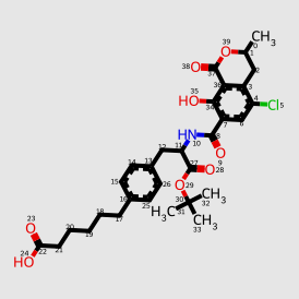 CC1Cc2c(Cl)cc(C(=O)NC(Cc3ccc(CCCCCC(=O)O)cc3)C(=O)OC(C)(C)C)c(O)c2C(=O)O1